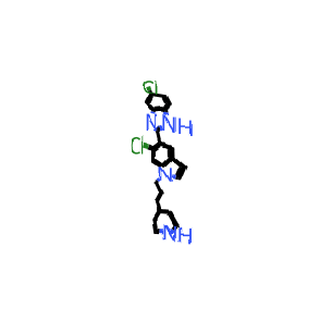 Clc1ccc2[nH]c(-c3cc4ccn(CCCC5CCNCC5)c4cc3Cl)nc2c1